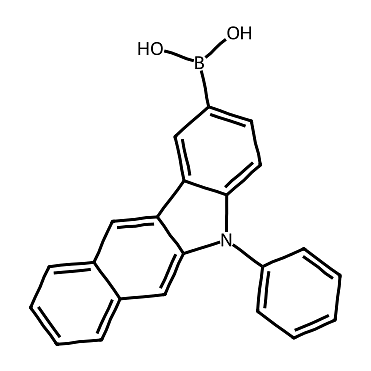 OB(O)c1ccc2c(c1)c1cc3ccccc3cc1n2-c1ccccc1